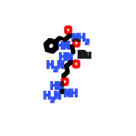 CC[C@H](C)[C@H](NC(=O)[C@@H](N)CCONC(=N)N)C(=O)N[C@@H](Cc1ccccc1)C(N)=O